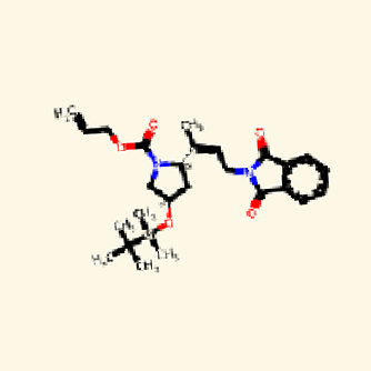 C=CCOC(=O)N1C[C@H](O[Si](C)(C)C(C)(C)C)C[C@H]1C(C)=CCN1C(=O)c2ccccc2C1=O